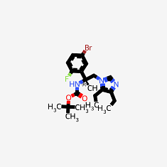 CCc1ncn(C[C@](C)(NC(=O)OC(C)(C)C)c2cc(Br)ccc2F)c1CC